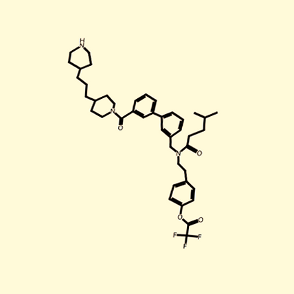 CC(C)CCC(=O)N(CCc1ccc(OC(=O)C(F)(F)F)cc1)Cc1cccc(-c2cccc(C(=O)N3CCC(CCCC4CCNCC4)CC3)c2)c1